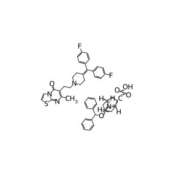 CN1[C@@H]2CC[C@H]1C[C@@H](OC(c1ccccc1)c1ccccc1)C2.CS(=O)(=O)O.Cc1nc2sccn2c(=O)c1CCN1CCC(=C(c2ccc(F)cc2)c2ccc(F)cc2)CC1